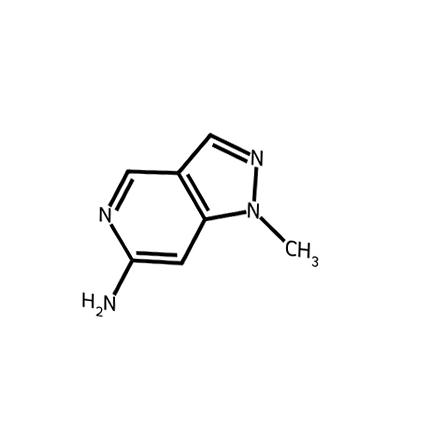 Cn1ncc2cnc(N)cc21